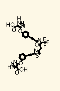 O=C(O)c1[nH]nnc1Oc1ccc(C#Cc2nc(C(F)(F)F)c(Cc3csc(C#Cc4cccc(Oc5nn[nH]c5C(=O)O)c4)n3)o2)cc1